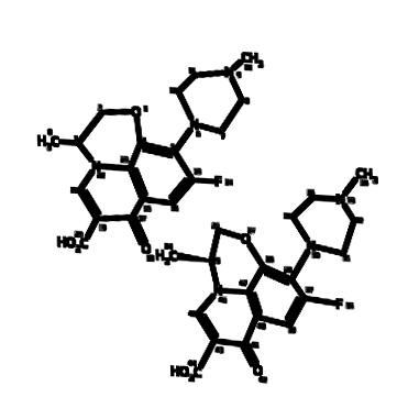 CC1COc2c(N3CCN(C)CC3)c(F)cc3c(=O)c(C(=O)O)cn1c23.C[C@H]1COc2c(N3CCN(C)CC3)c(F)cc3c(=O)c(C(=O)O)cn1c23